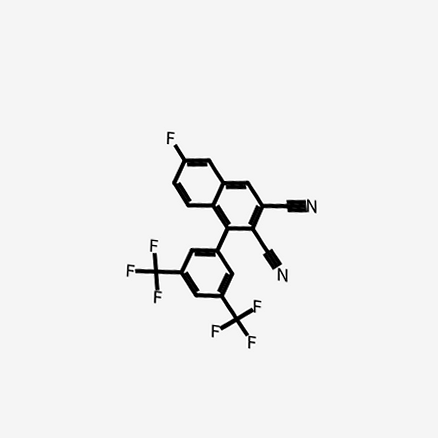 N#Cc1cc2cc(F)ccc2c(-c2cc(C(F)(F)F)cc(C(F)(F)F)c2)c1C#N